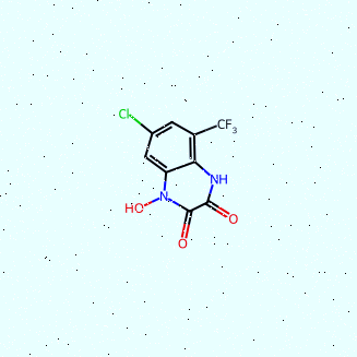 O=c1[nH]c2c(C(F)(F)F)cc(Cl)cc2n(O)c1=O